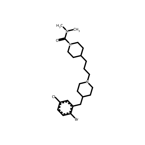 CN(C)C(=O)N1CCC(CCCN2CCC(Cc3cc(Cl)ccc3Br)CC2)CC1